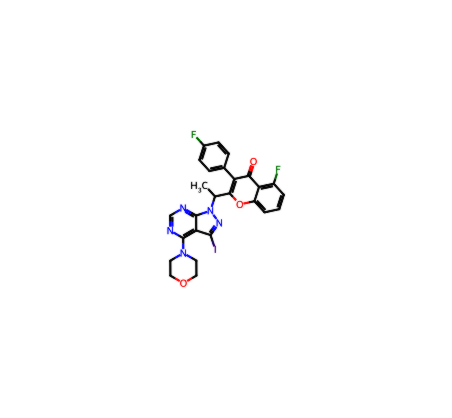 CC(c1oc2cccc(F)c2c(=O)c1-c1ccc(F)cc1)n1nc(I)c2c(N3CCOCC3)ncnc21